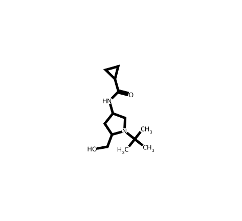 CC(C)(C)N1CC(NC(=O)C2CC2)CC1CO